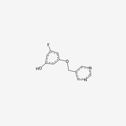 Oc1cc(F)cc(OCc2cncnc2)c1